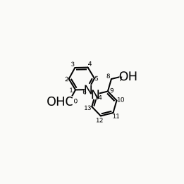 O=Cc1ccccn1.OCc1ccccn1